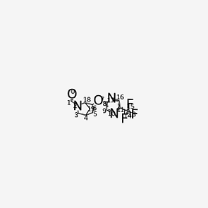 O=CN1CC2CC(Oc3cnc(C(F)(F)F)cn3)C1C2